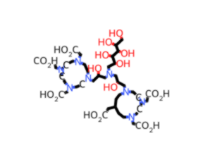 O=C(O)CC1CCN(CC(=O)O)CCN(CC(=O)O)CCN(CC(O)CN(CC(O)CN2CCN(CC(=O)O)CCN(CC(=O)O)CCN(CC(=O)O)CC2)CC(O)C(O)C(O)C(O)CO)CC1